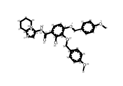 COc1ccc(COc2ccc(C(=O)Nc3cnc4n3CCCC4)c(Cl)c2OCc2ccc(OC)cc2)cc1